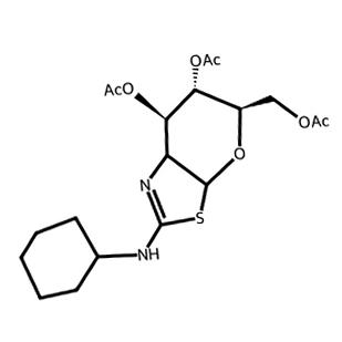 CC(=O)OC[C@H]1OC2SC(NC3CCCCC3)=NC2[C@@H](OC(C)=O)[C@@H]1OC(C)=O